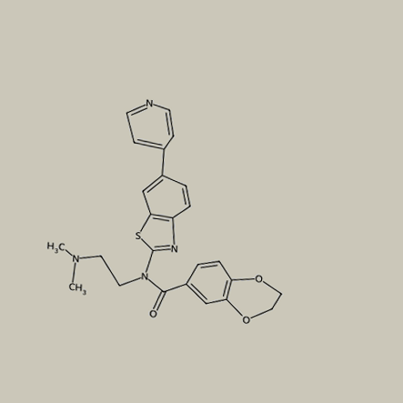 CN(C)CCN(C(=O)c1ccc2c(c1)OCCO2)c1nc2ccc(-c3ccncc3)cc2s1